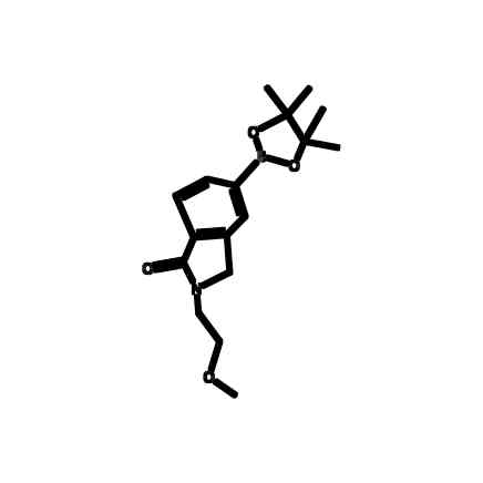 COCCN1Cc2cc(B3OC(C)(C)C(C)(C)O3)ccc2C1=O